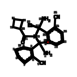 CCC(N)(c1ccccc1C#N)N(C(=O)C1CCC1)C(N)(CC)c1ccccc1C#N